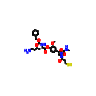 CNC(=O)OC(CNC(=O)CCS)c1ccc(OC(=O)[C@H](CCCCN)NC(=O)OCc2ccccc2)c(OC)c1